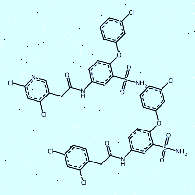 NS(=O)(=O)c1cc(NC(=O)Cc2ccc(Cl)cc2Cl)ccc1Oc1cccc(Cl)c1.NS(=O)(=O)c1cc(NC(=O)Cc2cnc(Cl)cc2Cl)ccc1Oc1cccc(Cl)c1